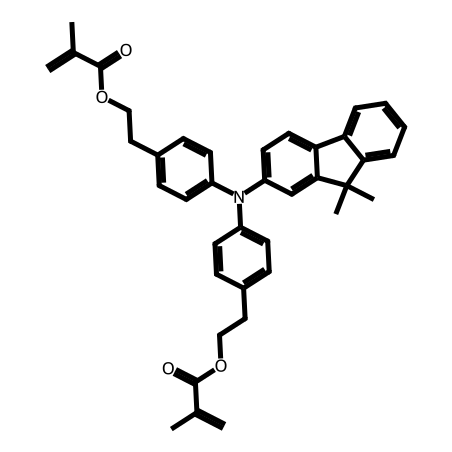 C=C(C)C(=O)OCCc1ccc(N(c2ccc(CCOC(=O)C(=C)C)cc2)c2ccc3c(c2)C(C)(C)c2ccccc2-3)cc1